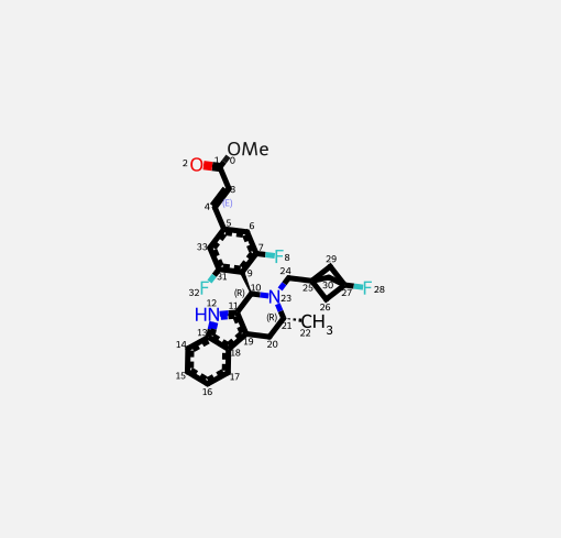 COC(=O)/C=C/c1cc(F)c([C@@H]2c3[nH]c4ccccc4c3C[C@@H](C)N2CC23CC(F)(C2)C3)c(F)c1